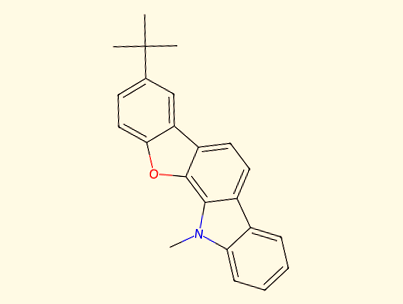 Cn1c2ccccc2c2ccc3c4cc(C(C)(C)C)ccc4oc3c21